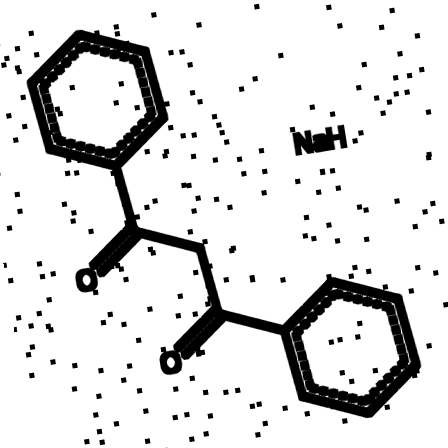 O=C(CC(=O)c1ccccc1)c1ccccc1.[NaH]